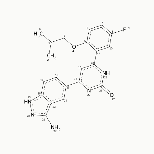 CC(C)COc1ccc(F)cc1-c1cc(-c2ccc3[nH]nc(N)c3c2)nc(=O)[nH]1